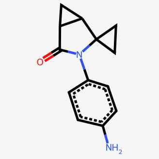 Nc1ccc(N2C(=O)C3CC3C23CC3)cc1